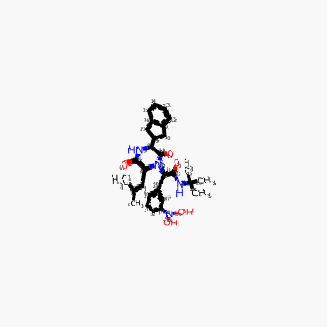 CC(C)CC1C(=O)NC(C2Cc3ccccc3C2)C(=O)N1C(C(=O)NC(C)(C)C)c1cccc(N(O)O)c1